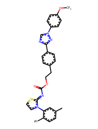 Cc1ccc(C(C)C)c(-n2ccs/c2=N\C(=O)OCCc2ccc(-c3ncn(-c4ccc(OC(F)(F)F)cc4)n3)cc2)c1